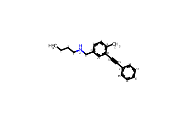 CCCCNCc1ccc(C)c(C#Cc2ccccc2)c1